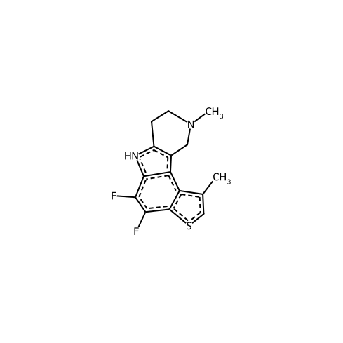 Cc1csc2c(F)c(F)c3[nH]c4c(c3c12)CN(C)CC4